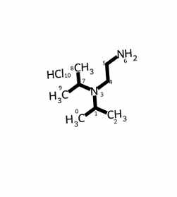 CC(C)N(CCN)C(C)C.Cl